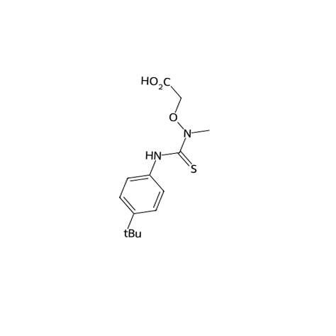 CN(OCC(=O)O)C(=S)Nc1ccc(C(C)(C)C)cc1